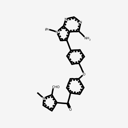 CC(C)n1cc(-c2ccc(Oc3ccc(C(=O)c4ccn(C)c4C=O)cc3)cc2)c2c(N)ncnc21